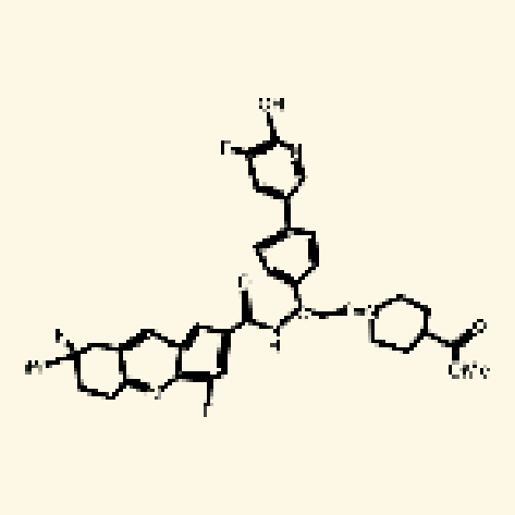 COC(=O)C1CCN(CC[C@@H](NC(=O)c2cc(F)c3nc4c(cc3c2)CC(F)(C(C)C)CC4)c2ccc(-c3cnc(O)c(F)c3)cc2)CC1